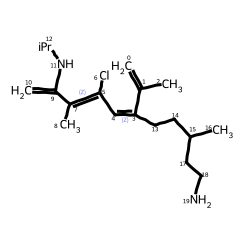 C=C(C)/C(=C\C(Cl)=C(/C)C(=C)NC(C)C)CCC(C)CCN